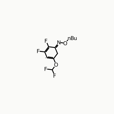 CCCCON=C1CC(OC(F)F)=[C]C(F)=C1F